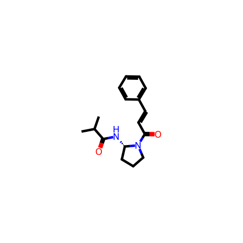 CC(C)C(=O)N[C@H]1CCCN1C(=O)/C=C/c1ccccc1